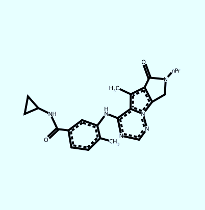 CCCN1Cc2c(c(C)c3c(Nc4cc(C(=O)NC5CC5)ccc4C)ncnn23)C1=O